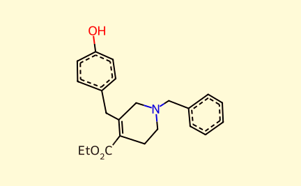 CCOC(=O)C1=C(Cc2ccc(O)cc2)CN(Cc2ccccc2)CC1